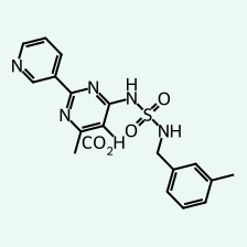 Cc1cccc(CNS(=O)(=O)Nc2nc(-c3cccnc3)nc(C)c2C(=O)O)c1